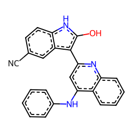 N#Cc1ccc2[nH]c(O)c(-c3cc(Nc4ccccc4)c4ccccc4n3)c2c1